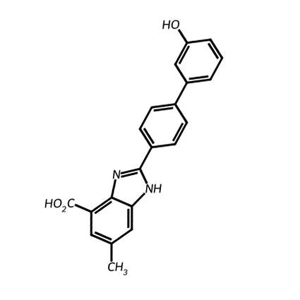 Cc1cc(C(=O)O)c2nc(-c3ccc(-c4cccc(O)c4)cc3)[nH]c2c1